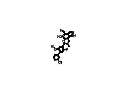 CCOc1cc(C(=O)N(C)Cc2c[n+](O)c(CF)c3cn[nH]c23)c(F)cc1-c1cccc(C#N)c1